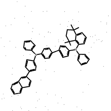 CC1(C)CCC(C)(C)c2c(N(c3ccccc3)c3ccc(-c4ccc(N(c5ccccc5)c5ccc(-c6ccc7ccccc7c6)cc5)cc4)cc3)cccc21